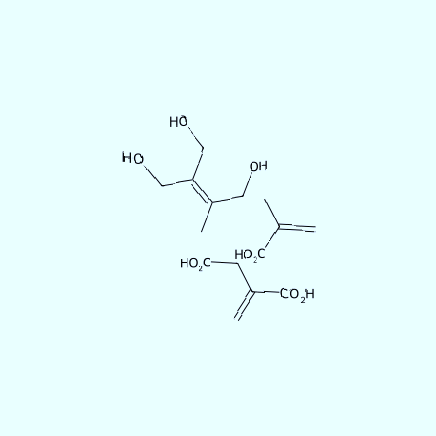 C=C(C)C(=O)O.C=C(CC(=O)O)C(=O)O.CC(CO)=C(CO)CO